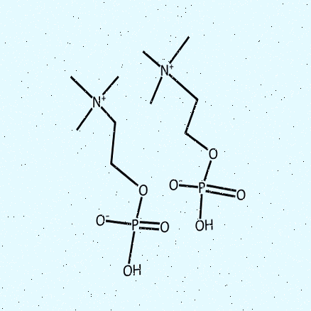 C[N+](C)(C)CCOP(=O)([O-])O.C[N+](C)(C)CCOP(=O)([O-])O